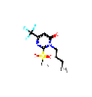 CCCCn1c(S(C)(=O)=O)nc(C(F)(F)F)cc1=O